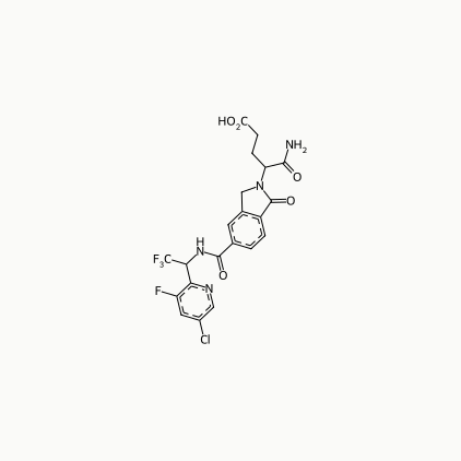 NC(=O)C(CCC(=O)O)N1Cc2cc(C(=O)NC(c3ncc(Cl)cc3F)C(F)(F)F)ccc2C1=O